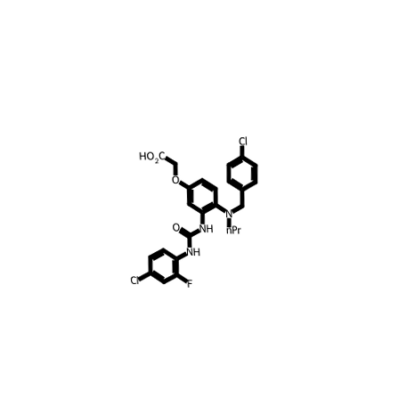 CCCN(Cc1ccc(Cl)cc1)c1ccc(OCC(=O)O)cc1NC(=O)Nc1ccc(Cl)cc1F